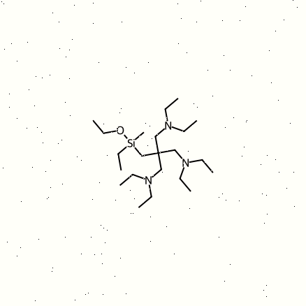 CCO[Si](C)(CC)CC(CN(CC)CC)(CN(CC)CC)CN(CC)CC